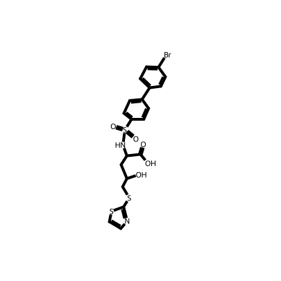 O=C(O)C(CC(O)CSc1nccs1)NS(=O)(=O)c1ccc(-c2ccc(Br)cc2)cc1